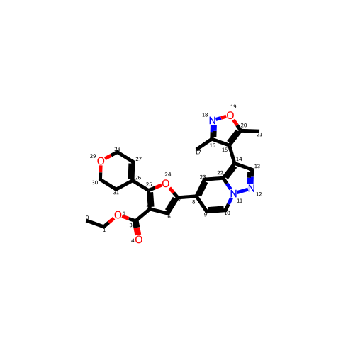 CCOC(=O)c1cc(-c2ccn3ncc(-c4c(C)noc4C)c3c2)oc1C1=CCOCC1